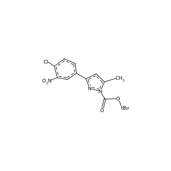 Cc1cc(-c2ccc(Cl)c([N+](=O)[O-])c2)nn1C(=O)OC(C)(C)C